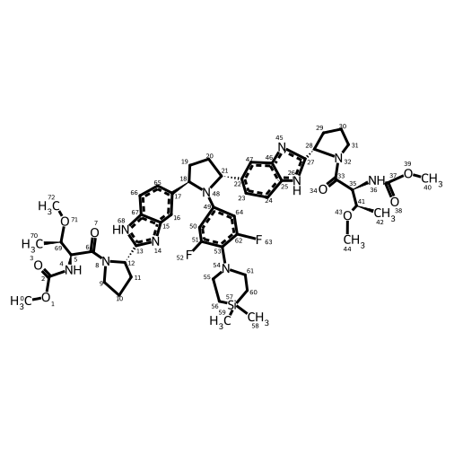 COC(=O)N[C@H](C(=O)N1CCC[C@H]1c1nc2cc([C@H]3CC[C@H](c4ccc5[nH]c([C@@H]6CCCN6C(=O)[C@@H](NC(=O)OC)[C@@H](C)OC)nc5c4)N3c3cc(F)c(N4CC[Si](C)(C)CC4)c(F)c3)ccc2[nH]1)[C@@H](C)OC